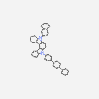 C1=Cc2c(c3c4c5ccccc5n(-c5ccc(-c6ccc(-c7ccccc7)cc6)cc5)c4ccc3n2-c2ccc3ccccc3c2)CC1